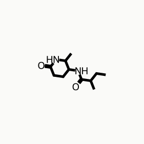 CCC(C)C(=O)NC1CCC(=O)NC1C